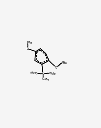 CO[Si](OC)(OC)c1cc(OC(C)(C)C)ccc1OC(C)(C)C